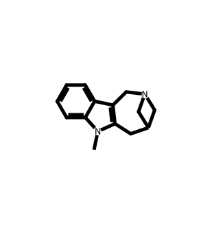 Cn1c2c(c3ccccc31)CN1CC(C2)C1